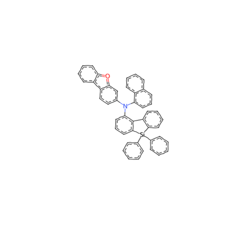 c1ccc([Si]2(c3ccccc3)c3ccccc3-c3c(N(c4ccc5c(c4)oc4ccccc45)c4cccc5ccccc45)cccc32)cc1